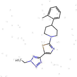 Cc1ccccc1C1CCN(c2ncc(-c3nnn(CC(=O)O)n3)s2)CC1